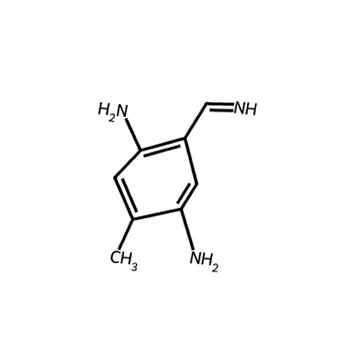 Cc1cc(N)c(C=N)cc1N